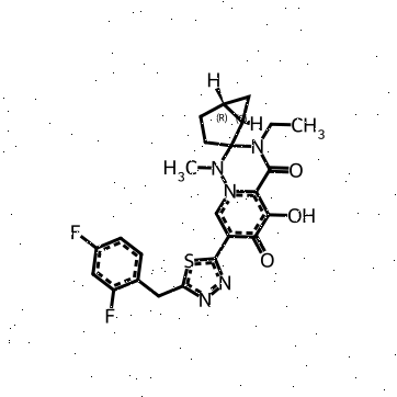 CCN1C(=O)c2c(O)c(=O)c(-c3nnc(Cc4ccc(F)cc4F)s3)cn2N(C)C12CC[C@@H]1C[C@@H]12